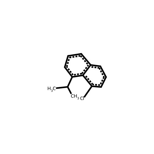 CC(C)c1cccc2cccc(Cl)c12